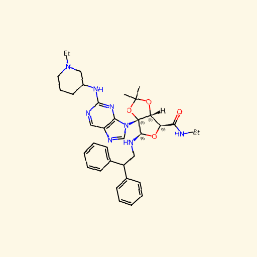 CCNC(=O)[C@H]1O[C@@H](NCC(c2ccccc2)c2ccccc2)[C@]2(n3cnc4cnc(NC5CCCN(CC)C5)nc43)OC(C)(C)O[C@H]12